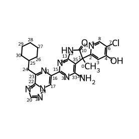 CC1(c2cc(O)c(Cl)cn2)C(=O)Nc2nc(-c3cn4ncnc4c(CC4CCCCC4)n3)nc(N)c21